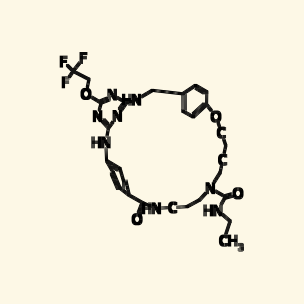 CCNC(=O)N1CCCCOc2ccc(cc2)CNc2nc(nc(OCC(F)(F)F)n2)Nc2ccc(cc2)C(=O)NCCC1